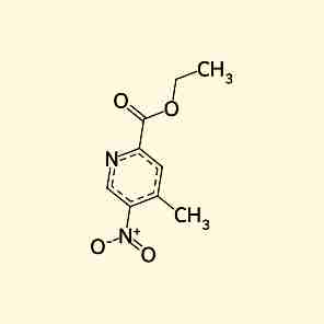 CCOC(=O)c1cc(C)c([N+](=O)[O-])cn1